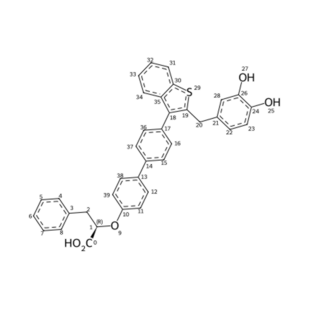 O=C(O)[C@@H](Cc1ccccc1)Oc1ccc(-c2ccc(-c3c(Cc4ccc(O)c(O)c4)sc4ccccc34)cc2)cc1